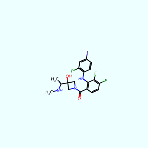 CNC(C)C1(O)CN(C(=O)c2ccc(F)c(F)c2Nc2ccc(I)cc2F)C1